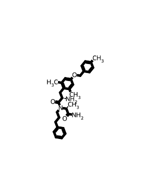 Cc1ccc(COc2cc(C)c(C[C@H](N)C(=O)N(CCCc3ccccc3)[C@H](C)C(N)=O)c(C)c2)cc1